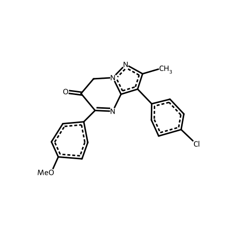 COc1ccc(C2=Nc3c(-c4ccc(Cl)cc4)c(C)nn3CC2=O)cc1